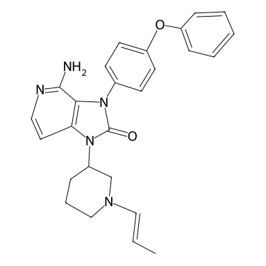 CC=CN1CCCC(n2c(=O)n(-c3ccc(Oc4ccccc4)cc3)c3c(N)nccc32)C1